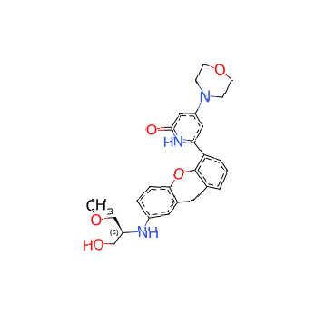 COC[C@H](CO)Nc1ccc2c(c1)Cc1cccc(-c3cc(N4CCOCC4)cc(=O)[nH]3)c1O2